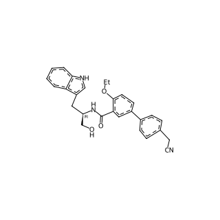 CCOc1ccc(-c2ccc(CC#N)cc2)cc1C(=O)N[C@@H](CO)Cc1c[nH]c2ccccc12